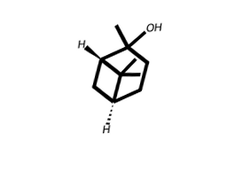 CC1(O)CC[C@H]2C[C@H]1C2(C)C